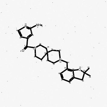 CNc1cc(C(=O)N2CCC3(CCN(Cc4cccc5c4OC(C)(C)C5)CC3)CC2)ccn1